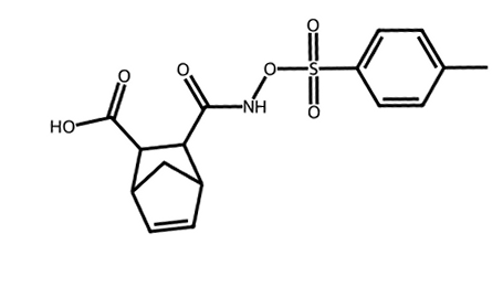 Cc1ccc(S(=O)(=O)ONC(=O)C2C3C=CC(C3)C2C(=O)O)cc1